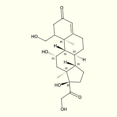 C[C@]12C[C@H](O)[C@H]3[C@@H](CCC4=CC(=O)CC(CO)[C@@]43C)[C@@H]1CC[C@]2(O)C(=O)CO